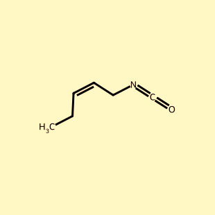 CC/C=C\CN=C=O